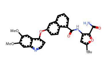 COc1cc2nccc(Oc3ccc4c(C(=O)Nc5cc(C(C)(C)C)oc5C(N)=O)cccc4c3)c2cc1OC